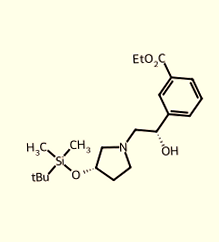 CCOC(=O)c1cccc([C@H](O)CN2CC[C@H](O[Si](C)(C)C(C)(C)C)C2)c1